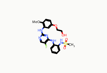 COc1ccc(OCCO)cc1Nc1ncc(F)c(Nc2ccccc2NS(C)(=O)=O)n1